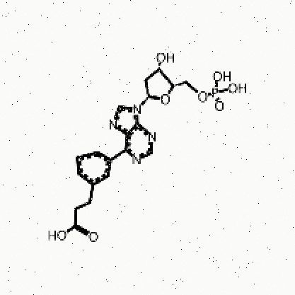 O=C(O)CCc1cccc(-c2ncnc3c2ncn3[C@H]2C[C@H](O)[C@@H](COP(=O)(O)O)O2)c1